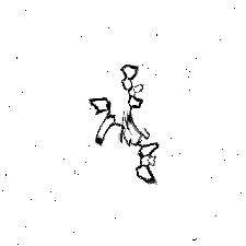 c1ccc(-c2cccc(-c3nc(-c4ccc5oc6ccccc6c5c4)nc(-c4ccc5oc6c7ccccc7ccc6c5c4)n3)c2)cc1